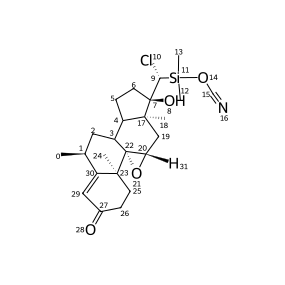 C[C@H]1CC2C3CC[C@](O)([C@H](Cl)[Si](C)(C)OC#N)[C@@]3(C)C[C@@H]3O[C@]23[C@@]2(C)CCC(=O)C=C12